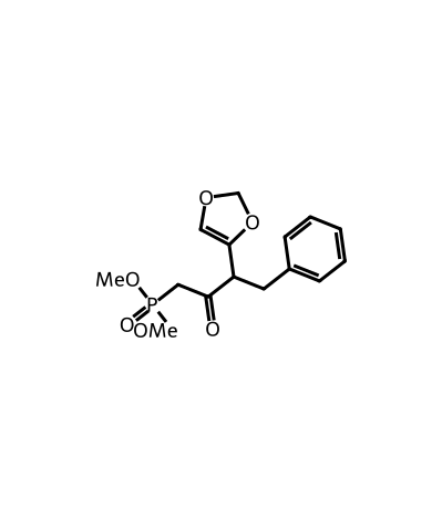 COP(=O)(CC(=O)C(Cc1ccccc1)C1=COCO1)OC